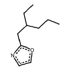 CCCC(CC)Cc1ncco1